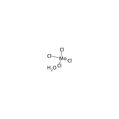 O.[Cl][Mo]([Cl])([Cl])[Cl]